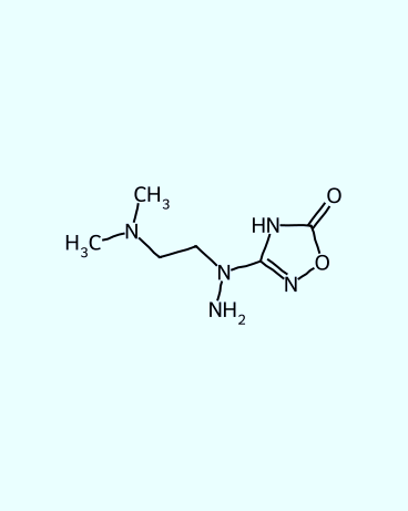 CN(C)CCN(N)c1noc(=O)[nH]1